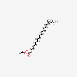 C=CCOC(=O)CCCCCCCCCCCCCCCCCC(=O)O